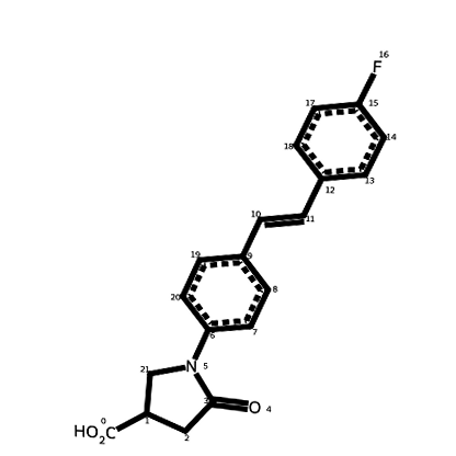 O=C(O)C1CC(=O)N(c2ccc(C=Cc3ccc(F)cc3)cc2)C1